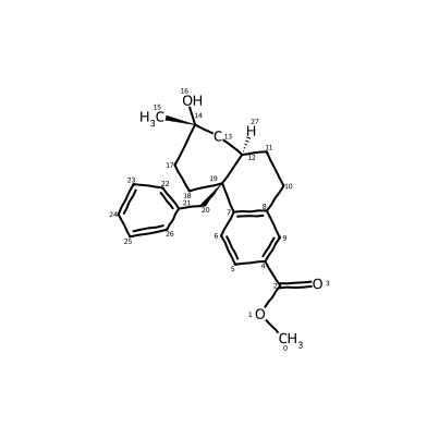 COC(=O)c1ccc2c(c1)CC[C@@H]1C[C@@](C)(O)CC[C@@]21Cc1ccccc1